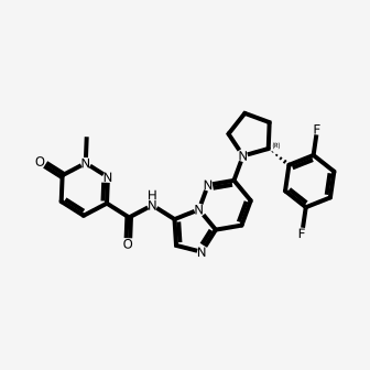 Cn1nc(C(=O)Nc2cnc3ccc(N4CCC[C@@H]4c4cc(F)ccc4F)nn23)ccc1=O